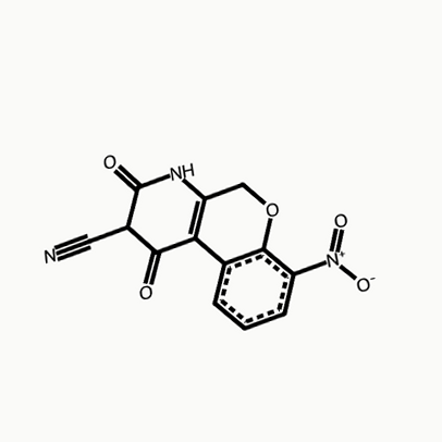 N#CC1C(=O)NC2=C(C1=O)c1cccc([N+](=O)[O-])c1OC2